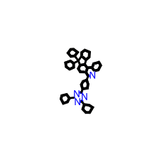 c1ccc(-c2nc(-c3ccccc3)nc(-c3ccc(-c4nc5ccccc5c5c6c(ccc45)C(c4ccccc4)(c4ccccc4)c4ccccc4-6)cc3)n2)cc1